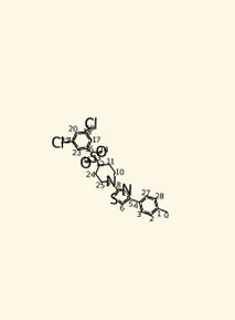 Cc1ccc(-c2csc(N3CCC(S(=O)(=O)c4cc(Cl)cc(Cl)c4)CC3)n2)cc1